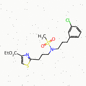 CCOC(=O)c1csc(CCCN(CCCc2cccc(Cl)c2)S(C)(=O)=O)n1